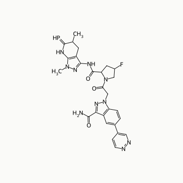 CC1Cc2c(NC(=O)C3CC(F)CN3C(=O)Cn3nc(C(N)=O)c4cc(-c5ccnnc5)ccc43)nn(C)c2NC1=P